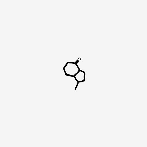 CC1CCC2C(=O)CCCC12